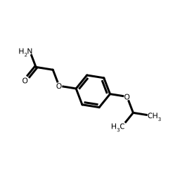 CC(C)Oc1ccc(OCC(N)=O)cc1